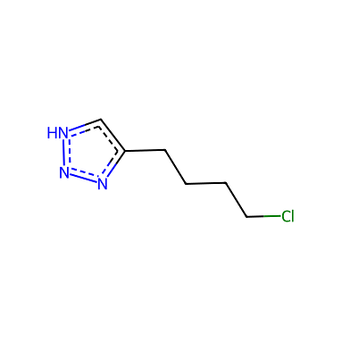 ClCCCCc1c[nH]nn1